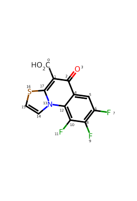 O=C(O)c1c(=O)c2cc(F)c(F)c(F)c2n2ccsc12